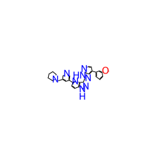 COc1cccc(-c2ccnc3[nH]c(-c4n[nH]c5ccc(-c6cncc(CN7CCCCC7)c6)nc45)nc23)c1